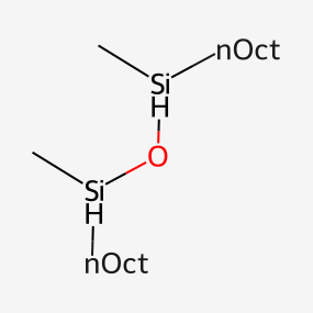 CCCCCCCC[SiH](C)O[SiH](C)CCCCCCCC